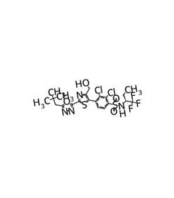 CC[C@H](NS(=O)(=O)c1ccc(-c2sc(-c3nnc(CC(C)(C)C)o3)nc2CO)c(Cl)c1Cl)C(F)(F)F